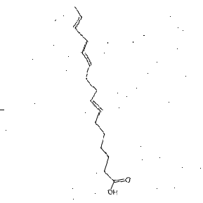 CC=CCC=CCCC=CCCCCCC(=O)O